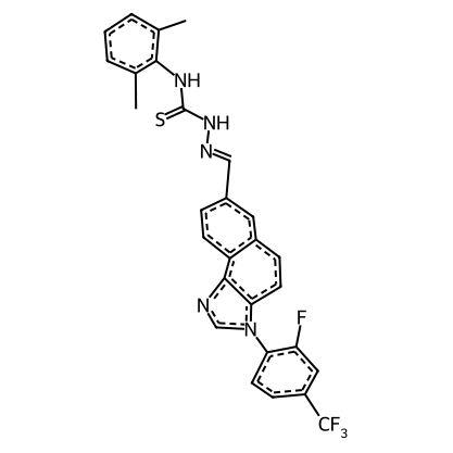 Cc1cccc(C)c1NC(=S)N/N=C/c1ccc2c(ccc3c2ncn3-c2ccc(C(F)(F)F)cc2F)c1